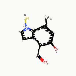 Cc1cc(Br)c(C=O)c2ccn(S)c12